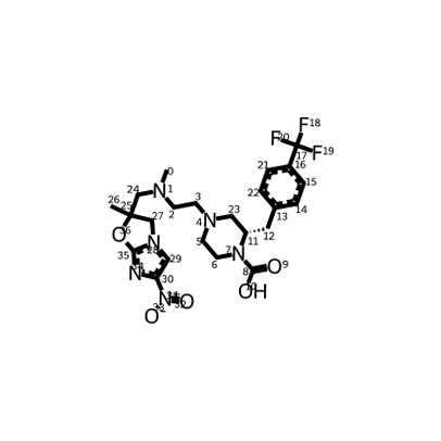 CN(CCN1CCN(C(=O)O)[C@@H](Cc2ccc(C(F)(F)F)cc2)C1)CC1(C)Cn2cc([N+](=O)[O-])nc2O1